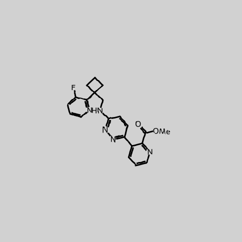 COC(=O)c1ncccc1-c1ccc(NCC2(c3ncccc3F)CCC2)nn1